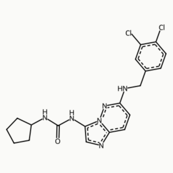 O=C(Nc1cnc2ccc(NCc3ccc(Cl)c(Cl)c3)nn12)NC1CCCC1